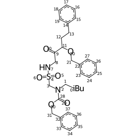 CCC(C)CN(CS(=O)(=O)NCC(=O)C(CCc1ccccc1)OCc1ccccc1)C(=O)OCc1ccccc1